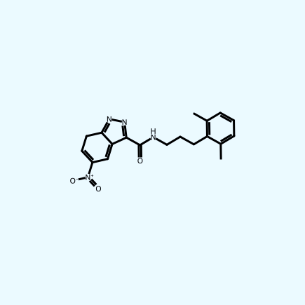 Cc1cccc(C)c1CCCNC(=O)C1=NN=C2CC=C([N+](=O)[O-])C=C21